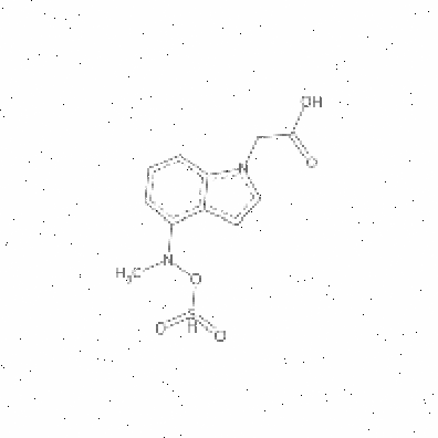 CN(O[SH](=O)=O)c1cccc2c1ccn2CC(=O)O